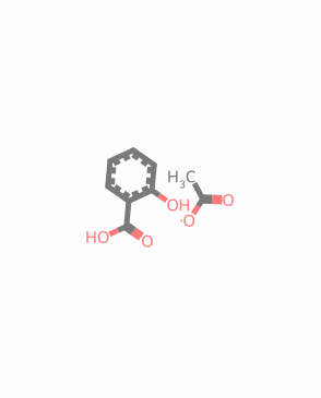 CC([O])=O.O=C(O)c1ccccc1O